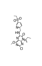 CC[C@@H](C)n1c(=O)c(NCc2ccc(S(=O)(=O)CC)cn2)nc2c(OC)nc(Cl)nc21